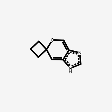 C1=c2nc[nH]c2=CC2(CCC2)O1